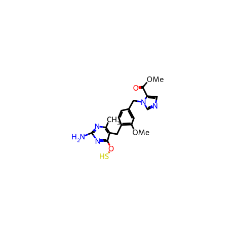 COC(=O)c1cncn1Cc1ccc(Cc2c(C)nc(N)nc2OS)c(OC)c1